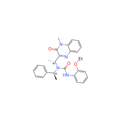 CCOc1ccccc1NC(=O)N([C@H](C)c1nc2ccccc2n(C)c1=O)[C@@H](C)c1ccccc1